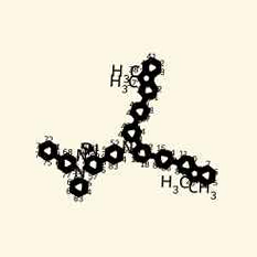 CC1(C)c2ccccc2-c2ccc(-c3ccc(-c4ccc5c(c4)c4cc(-c6ccc(-c7ccc8c(c7)C(C)(C)c7ccccc7-8)cc6)ccc4n5-c4ccc(-c5ccc(N(c6ccccc6)c6ccc(-c7ccccc7)cc6)c6nsnc56)cc4)cc3)cc21